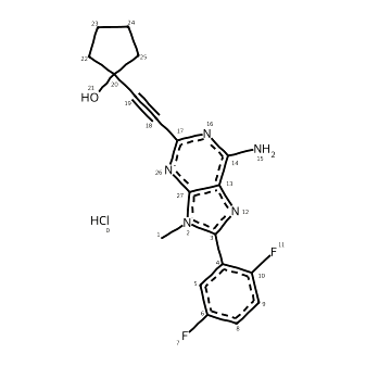 Cl.Cn1c(-c2cc(F)ccc2F)nc2c(N)nc(C#CC3(O)CCCC3)nc21